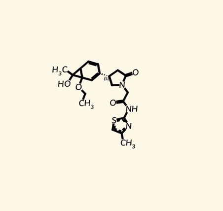 CCOC12C=C([C@@H]3CC(=O)N(CC(=O)Nc4nc(C)cs4)C3)C=CC1C2(C)O